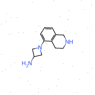 NC1CN(c2cccc3c2CCNC3)C1